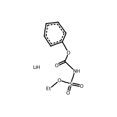 CCOS(=O)(=O)NC(=O)Oc1ccccc1.[LiH]